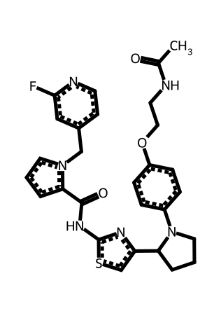 CC(=O)NCCOc1ccc(N2CCCC2c2csc(NC(=O)c3cccn3Cc3ccnc(F)c3)n2)cc1